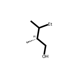 CCC(C)[C@@H](C)CO